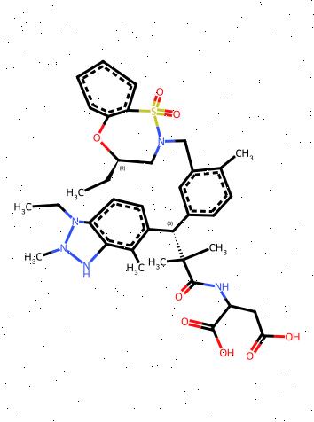 CC[C@@H]1CN(Cc2cc([C@@H](c3ccc4c(c3C)NN(C)N4CC)C(C)(C)C(=O)NC(CC(=O)O)C(=O)O)ccc2C)S(=O)(=O)c2ccccc2O1